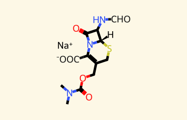 CN(C)C(=O)OCC1=C(C(=O)[O-])N2C(=O)C(NC=O)[C@@H]2SC1.[Na+]